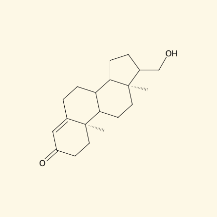 C[C@]12CCC3C(CCC4=CC(=O)CC[C@@]43C)C1CCC2CO